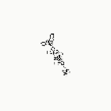 O=C1CN(c2ccc(CCC3CCCS(=O)(=O)N3)cc2O)S(=O)(=O)N1N1C(=O)CN(c2ccc(CCC3Cc4ccccc4CN3S(=O)(=O)Cc3ccccc3)cc2O)S1(=O)=O